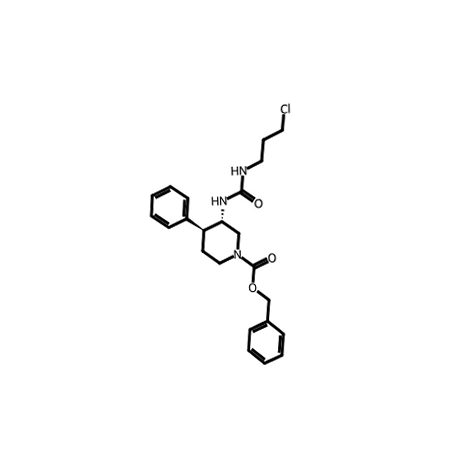 O=C(NCCCCl)N[C@@H]1CN(C(=O)OCc2ccccc2)CC[C@H]1c1ccccc1